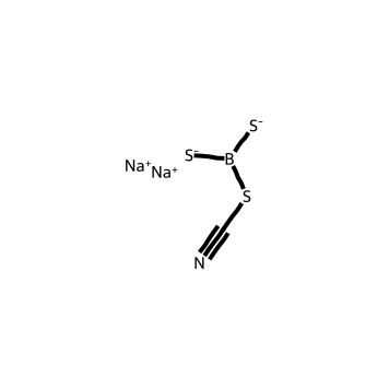 N#CSB([S-])[S-].[Na+].[Na+]